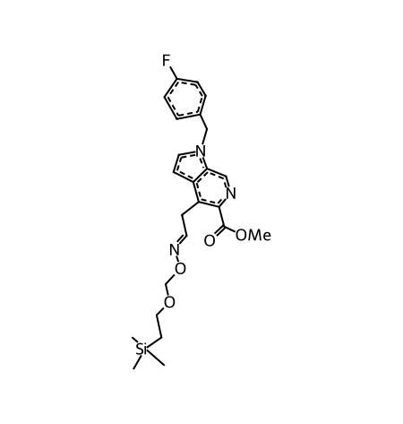 COC(=O)c1ncc2c(ccn2Cc2ccc(F)cc2)c1C/C=N/OCOCC[Si](C)(C)C